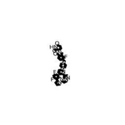 O=C1CCC(N2Cc3c(ccc(CN4CCN(c5cccc(-c6cnn7ccc(N8CCCC8c8ccc(F)cc8F)nc67)n5)CC4)c3F)C2=O)C(=O)N1